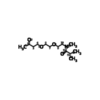 CC(=O)CCOCCOCCN(C)C(=O)C(C)C